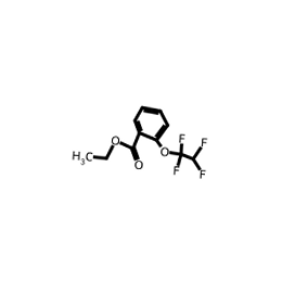 CCOC(=O)c1ccccc1OC(F)(F)C(F)F